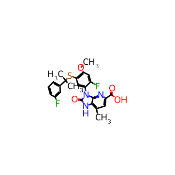 COc1cc(F)c(-n2c(=O)[nH]c3c(C)cc(C(=O)O)nc32)cc1SC(C)(C)c1cccc(F)c1